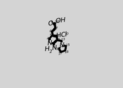 Cl.Nc1ncc(C=CC(=O)O)cc1CN1CCCC1